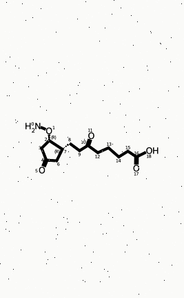 NO[C@@H]1CC(=O)C[C@H]1CCC(=O)CCCCC(=O)O